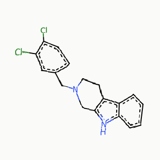 Clc1ccc(CN2CCc3c([nH]c4ccccc34)C2)cc1Cl